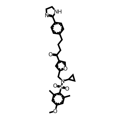 COc1cc(C)c(S(=O)(=O)N(Cc2cc(C(=O)CCCc3ccc(C4=NCCN4)cc3)co2)C2CC2)c(C)c1